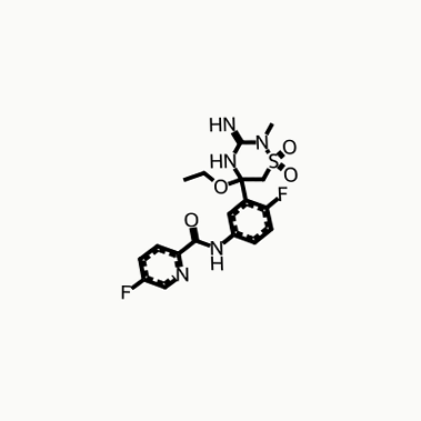 CCOC1(c2cc(NC(=O)c3ccc(F)cn3)ccc2F)CS(=O)(=O)N(C)C(=N)N1